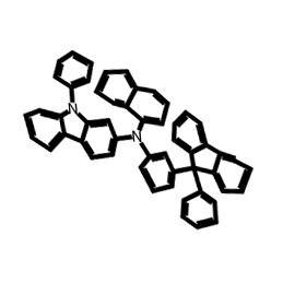 c1ccc(-n2c3ccccc3c3ccc(N(c4cccc(C5(c6ccccc6)c6ccccc6-c6ccccc65)c4)c4cccc5ccccc45)cc32)cc1